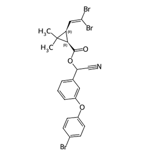 CC1(C)[C@H](C(=O)OC(C#N)c2cccc(Oc3ccc(Br)cc3)c2)[C@@H]1C=C(Br)Br